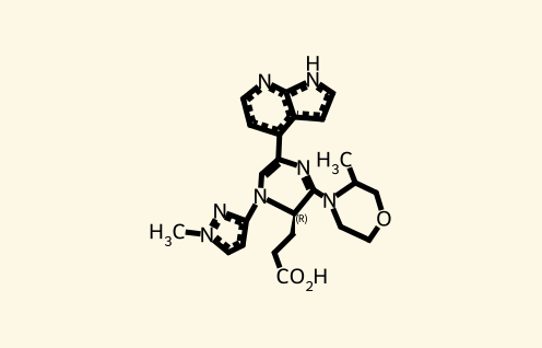 CC1COCCN1C1=NC(c2ccnc3[nH]ccc23)=CN(c2ccn(C)n2)[C@@H]1CCC(=O)O